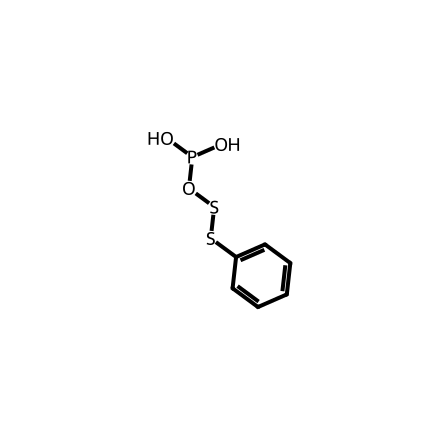 OP(O)OSSc1ccccc1